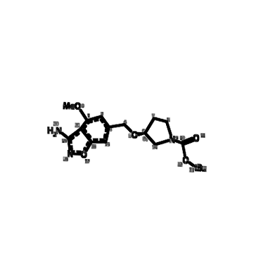 COc1cc(CO[C@H]2CCN(C(=O)OC(C)(C)C)C2)cc2onc(N)c12